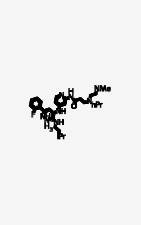 CCCN(CCNC)CCC(=O)Nc1cc(NC(/C=C(\N)c2ccccc2F)=C(/N)NCCC(C)C)ccn1